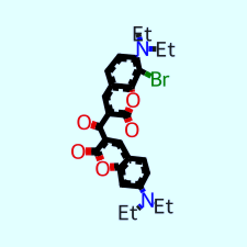 CCN(CC)c1ccc2cc(C(=O)c3cc4ccc(N(CC)CC)c(Br)c4oc3=O)c(=O)oc2c1